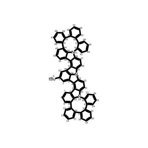 CC(C)(C)c1cc2c3c4c5cccc6c7ccccc7c7ccccc7c7ccccc7n(c4ccc3n3c4ccc7c(c8cccc9c%10ccccc%10c%10ccccc%10c%10ccccc%10n7c98)c4c(c1)c23)c65